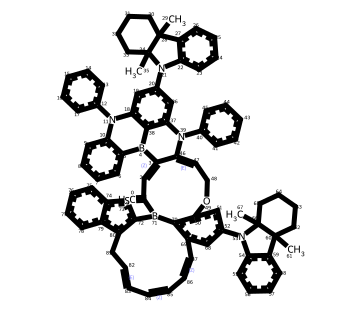 C=C1/C=C2/B3c4ccccc4N(c4ccccc4)c4cc(N5c6ccccc6C6(C)CCCCC56C)cc(c43)N(c3ccccc3)/C2=C/COc2cc(N3c4ccccc4C4(C)CCCCC34C)cc3c2B1c1sc2ccccc2c1C/C=C/C=C\C=C/3